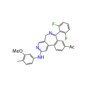 COc1cc(Nc2cc3c(cn2)CN=C(c2c(F)cccc2F)c2cc(C(C)=O)ccc2-3)ccc1C